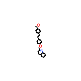 O=[C]c1ccc(/C=C/c2ccc(OCc3ccc4ccccc4n3)cc2)cc1